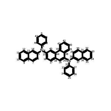 c1ccc(N(c2ccc3ccccc3c2)c2ccc3cc(N(c4ccccc4)c4ccc5ccccc5c4)c4ccccc4c3c2)cc1